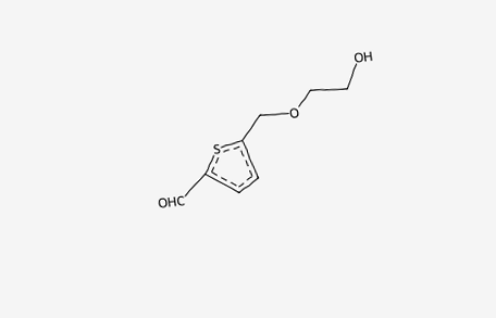 O=Cc1ccc(COCCO)s1